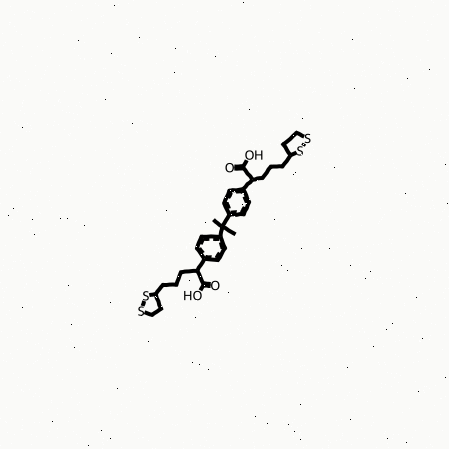 CC(C)(c1ccc(C(CCCC2CCSS2)C(=O)O)cc1)c1ccc(C(CCCC2CCSS2)C(=O)O)cc1